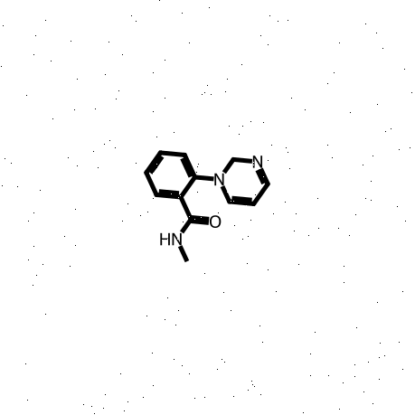 CNC(=O)c1ccccc1N1C=CC=NC1